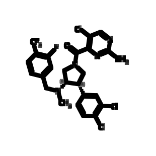 CN(Cc1ccc(C(F)(F)F)c(F)c1)[C@@H]1CN(C(=O)c2nc(N)ncc2Cl)C[C@@H]1c1ccc(Cl)c(Cl)c1